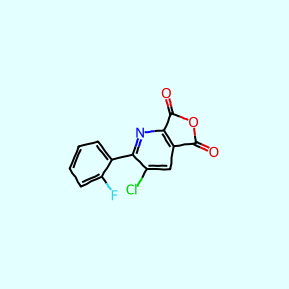 O=C1OC(=O)c2nc(-c3ccccc3F)c(Cl)cc21